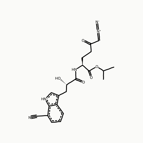 CC(C)OC(=O)[C@H](CCC(=O)C=[N+]=[N-])NC(=O)[C@@H](O)Cc1c[nH]c2c(C#N)cccc12